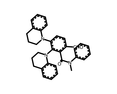 CN(C(=O)c1c(C=O)ccc(N2CCCc3ccccc32)c1N1CCCc2ccccc21)c1ccccc1